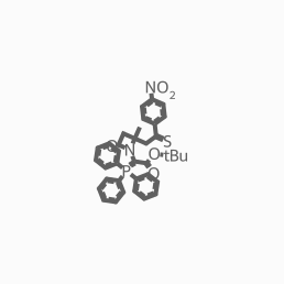 CC(C)(C)OC(=O)C(N1C(=O)CC1(C)CC(=S)c1ccc([N+](=O)[O-])cc1)=P(c1ccccc1)(c1ccccc1)c1ccccc1